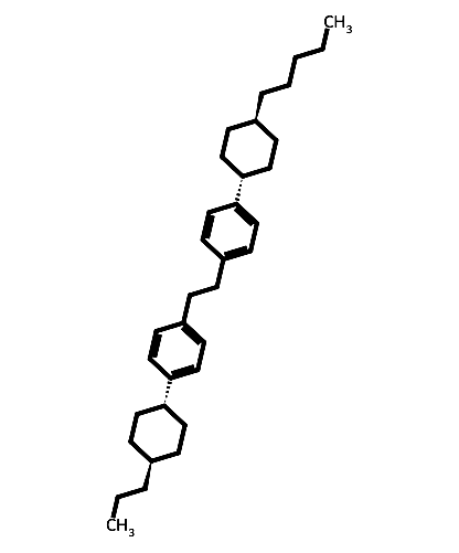 CCCCC[C@H]1CC[C@H](c2ccc(CCc3ccc([C@H]4CC[C@H](CCC)CC4)cc3)cc2)CC1